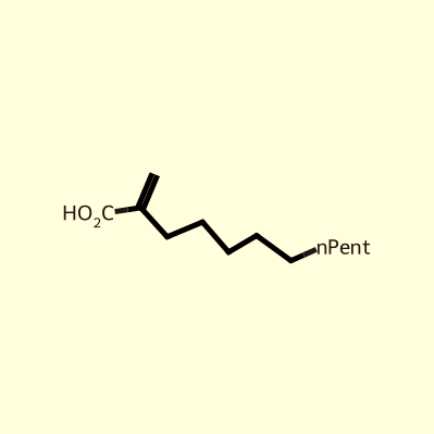 C=C(CCCCCCCCCC)C(=O)O